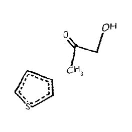 CC(=O)CO.c1ccsc1